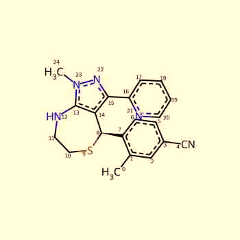 Cc1cc(C#N)ccc1[C@H]1SCCNc2c1c(-c1ccccn1)nn2C